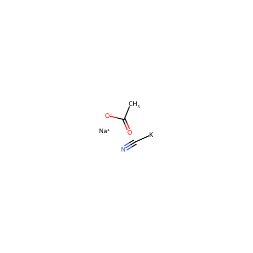 CC(=O)[O-].N#[C][K].[Na+]